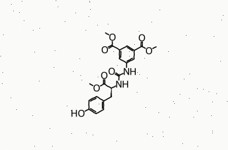 COC(=O)c1cc(NC(=O)N[C@@H](Cc2ccc(O)cc2)C(=O)OC)cc(C(=O)OC)c1